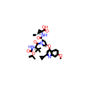 C=C[C@@H]1C[C@]1(NC(=O)[C@@H]1C[C@@H](Oc2cc(C3CC3)nc3cc(OC)ccc23)CN1C(=O)[C@@H](NC(=O)OC(=C)C)C(C)(C)C)C(=O)O